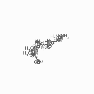 CC(NC(=O)C(NC(=O)CCCCCN1C(=O)C=CC1=O)C(C)C)C(=O)Nc1ccc(C(=O)NCCCC(NC(=O)c2ccc(CCc3cnc4nc(N)nc(N)c4n3)cc2O)C(=O)O)c(-c2nnn[nH]2)c1